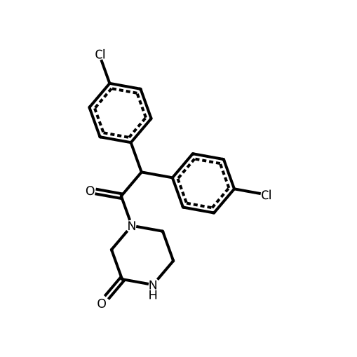 O=C1CN(C(=O)C(c2ccc(Cl)cc2)c2ccc(Cl)cc2)CCN1